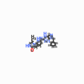 CC1CNC(=O)c2cc3ccc(NC(=N)Nc4cnn(Cc5ccccc5)c4)nc3n21